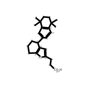 CC1(C)CCC(C)(C)c2cc(C3CCCc4sc(CCC(=O)O)cc43)ccc21